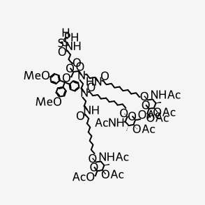 COc1ccc(C(OCC(OC(=O)CCC(=O)N[SH](=P)=S)C(=O)N(CCCNC(=O)CCCCCCCCCO[C@@H]2OC(COC(C)=O)[C@H](OC(C)=O)[C@H](C)C2NC(C)=O)CCCN(CCCNC(=O)CCCCCCCCCO[C@@H]2OC(COC(C)=O)[C@H](OC(C)=O)[C@H](C)C2NC(C)=O)C(=O)CCCCCCCCCO[C@@H]2OC(COC(C)=O)[C@H](OC(C)=O)[C@H](C)C2NC(C)=O)(c2ccccc2)c2ccc(OC)cc2)cc1